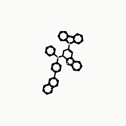 C1=C(n2c3ccccc3c3ccccc32)CC(N(c2ccccc2)c2ccc(-c3ccc4ccccc4c3)cc2)c2sc3ccccc3c21